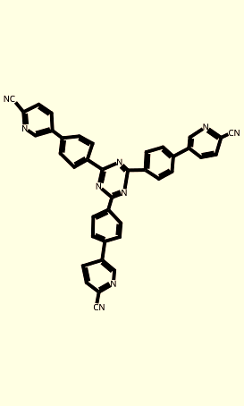 N#Cc1ccc(-c2ccc(-c3nc(-c4ccc(-c5ccc(C#N)nc5)cc4)nc(-c4ccc(-c5ccc(C#N)nc5)cc4)n3)cc2)cn1